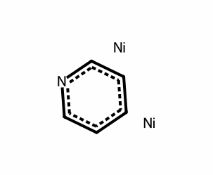 [Ni].[Ni].c1ccncc1